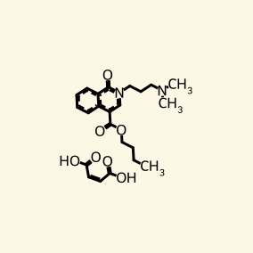 CCCCOC(=O)c1cn(CCCN(C)C)c(=O)c2ccccc12.O=C(O)/C=C\C(=O)O